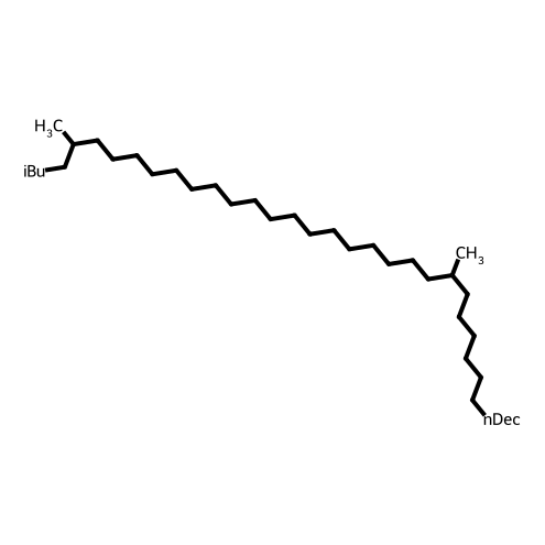 CCCCCCCCCCCCCCCCC(C)CCCCCCCCCCCCCCCCCCC(C)CC(C)CC